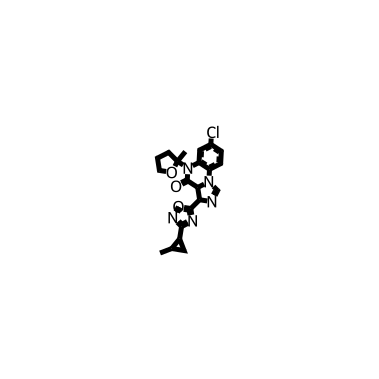 CC1CC1c1noc(C2N=CN3c4ccc(Cl)cc4N(C4(C)CCCO4)C(=O)C23)n1